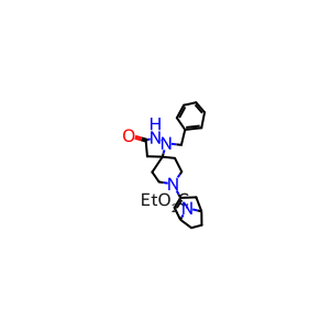 CCOC(=O)N1C2C=C(N3CCC4(CC3)CC(=O)NN4Cc3ccccc3)CC1CC2